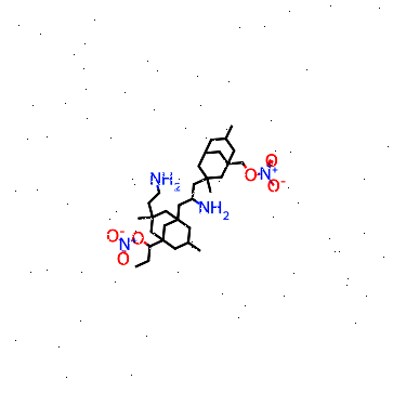 CCC(O[N+](=O)[O-])C12CC(C)CC(CC(N)CC3(C)CC4CC(C)CC(CO[N+](=O)[O-])(C4)C3)(CC(C)(CCN)C1)C2